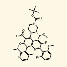 COC(=O)[C@H]1CN(C(=O)OC(C)(C)C)CCN1c1c([N+](=O)[O-])c(=O)n(-c2c(C)ccnc2C(C)C)c2nc(-c3c(F)cccc3OC)c(F)cc12